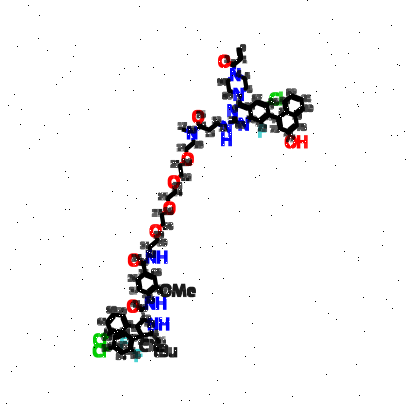 C=CC(=O)N1CCN(c2nc(NCCC(=O)N(C)CCOCCOCCOCCOCCNC(=O)c3ccc(NC(=O)[C@@H]4N[C@@H](CC(C)(C)C)[C@](C#N)(c5ccc(Cl)cc5F)[C@H]4c4cccc(Cl)c4F)c(OC)c3)nc3c(F)c(-c4cc(O)cc5ccccc45)c(Cl)cc23)CC1